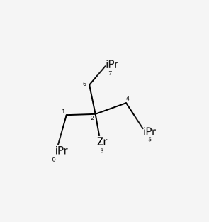 CC(C)C[C]([Zr])(CC(C)C)CC(C)C